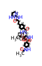 CC(=O)Nc1ccc(S(=O)(=O)N[C@@H](CNC(=O)c2ccc(CCC(=O)NC3=NCCCN3)cc2)C(=O)OC(C)(C)C)cc1